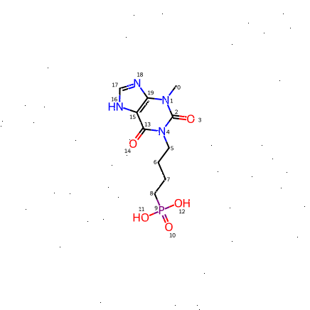 Cn1c(=O)n(CCCCP(=O)(O)O)c(=O)c2[nH]cnc21